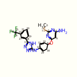 CSc1nc(N)cc(OC2C=CC(Nc3nnc(-c4cccc(C(F)(F)F)c4)[nH]3)=CC2)n1